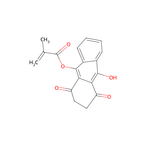 C=C(C)C(=O)Oc1c2c(c(O)c3ccccc13)C(=O)CCC2=O